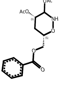 CC(=O)OC1NO[C@H](COC(=O)c2ccccc2)C[C@@H]1OC(C)=O